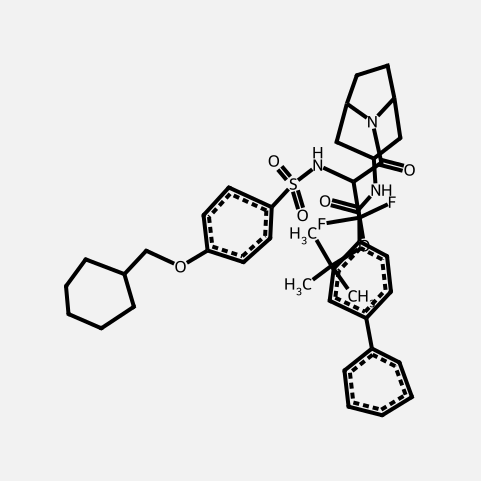 CC(C)(C)OC(=O)NC1CC2CCC(C1)N2C(=O)C(NS(=O)(=O)c1ccc(OCC2CCCCC2)cc1)C(F)(F)c1ccc(-c2ccccc2)cc1